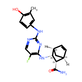 Cc1cc(Nc2ncc(F)c(N[C@H]3[C@@H](C(N)=O)[C@@H]4C=C[C@H]3C4)n2)ccc1O